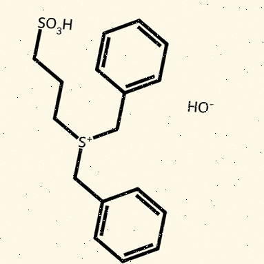 O=S(=O)(O)CCC[S+](Cc1ccccc1)Cc1ccccc1.[OH-]